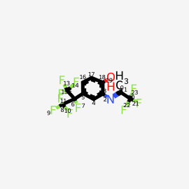 C/C(=N\c1cc(C(F)(C(F)(F)F)C(F)(F)F)ccc1O)C(F)(F)F